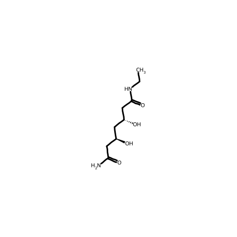 CCNC(=O)C[C@H](O)C[C@@H](O)CC(N)=O